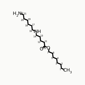 CCCCCCCCOC(=O)CCCCNCCCCCCN